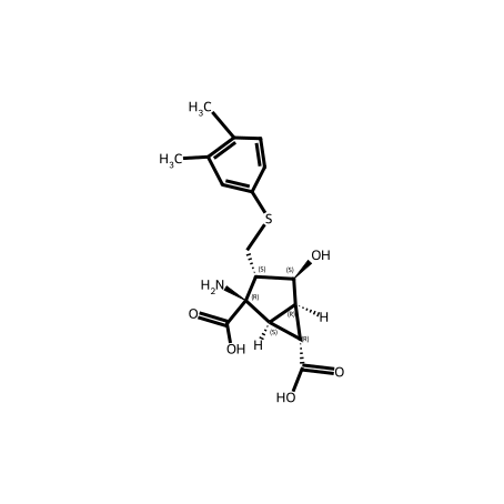 Cc1ccc(SC[C@@H]2[C@@H](O)[C@H]3[C@H](C(=O)O)[C@H]3[C@]2(N)C(=O)O)cc1C